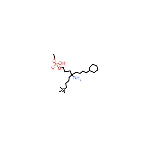 CCOP(=O)(O)OCCCC(N)(CCCCC1CCCCC1)CCCC[Si](C)(C)C